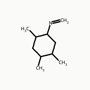 C=NC1CC(C)C(C)CC1C